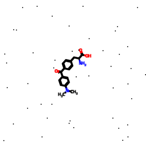 CN(C)c1ccc(C(=O)c2ccc(C[C@H](N)C(=O)O)cc2)cc1